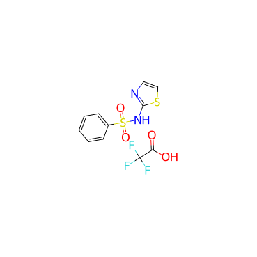 O=C(O)C(F)(F)F.O=S(=O)(Nc1nccs1)c1ccccc1